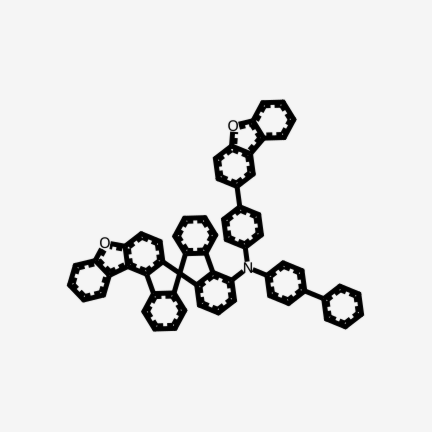 c1ccc(-c2ccc(N(c3ccc(-c4ccc5oc6ccccc6c5c4)cc3)c3cccc4c3-c3ccccc3C43c4ccccc4-c4c3ccc3oc5ccccc5c43)cc2)cc1